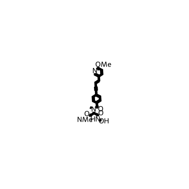 CNC(=O)C(C(=O)NO)N(C)C(=O)c1ccc(C#CC=Cc2ccc(OC)nc2)cc1